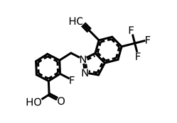 C#Cc1cc(C(F)(F)F)cc2cnn(Cc3cccc(C(=O)O)c3F)c12